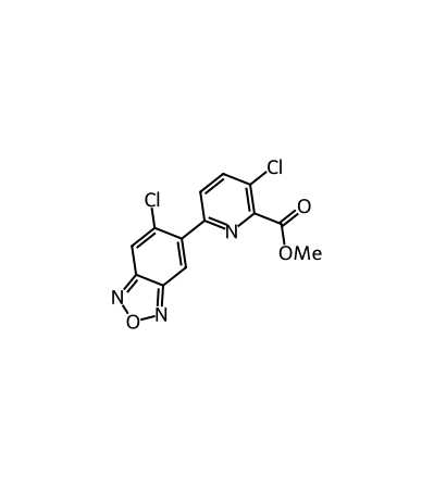 COC(=O)c1nc(-c2cc3nonc3cc2Cl)ccc1Cl